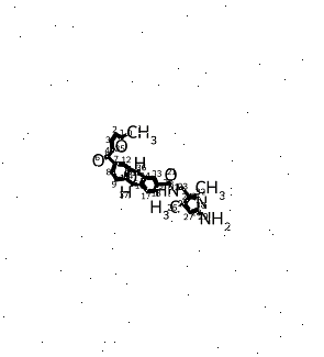 Cc1ccc(C(=O)c2ccc3c(c2)[C@H]2O[C@@H]3c3ccc(C(=O)NCc4c(C)cc(N)nc4C)cc32)o1